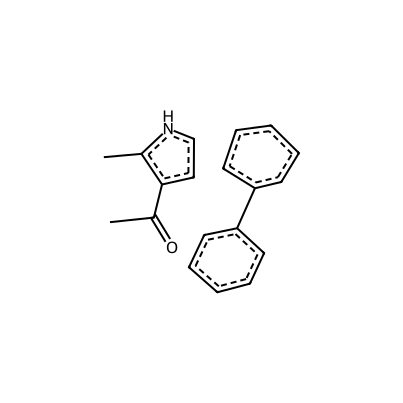 CC(=O)c1cc[nH]c1C.c1ccc(-c2ccccc2)cc1